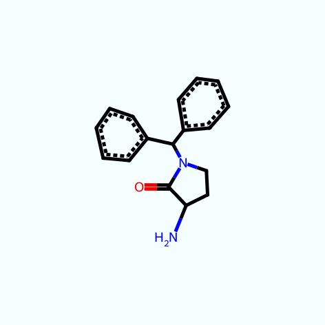 NC1CCN(C(c2ccccc2)c2ccccc2)C1=O